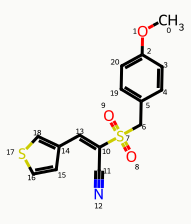 COc1ccc(CS(=O)(=O)C(C#N)=Cc2ccsc2)cc1